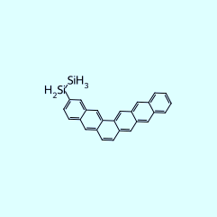 [SiH3][SiH2]c1ccc2cc3ccc4cc5cc6ccccc6cc5cc4c3cc2c1